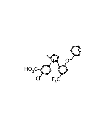 Cc1ccc(-c2cc(C(F)(F)F)ccc2OCc2ccccc2)n1-c1ccc(Cl)c(C(=O)O)c1